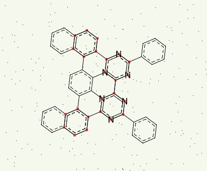 c1ccc(-c2nc(-c3ccccc3)nc(-c3ccccc3-c3c(-c4cccc5ccccc45)ccc(-c4cccc5ccccc45)c3-c3ccccc3-c3nc(-c4ccccc4)nc(-c4ccccc4)n3)n2)cc1